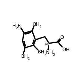 Bc1cc(B)c(B)c(C[C@H](N)C(=O)O)c1B